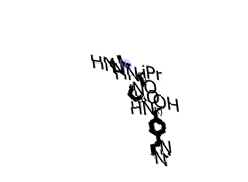 C/C(=C/N[C@H](C(=O)N1CCC[C@H]1C(=O)N[C@@H](CO)c1ccc(-c2ccncn2)cc1)C(C)C)N=N